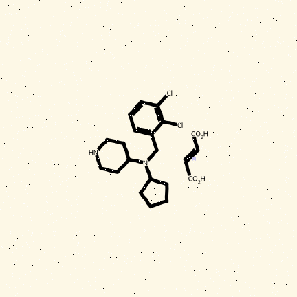 Clc1cccc(CN(C2CCCC2)C2CCNCC2)c1Cl.O=C(O)/C=C/C(=O)O